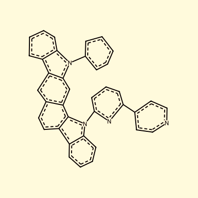 c1ccc(-n2c3ccccc3c3cc4ccc5c6ccccc6n(-c6cccc(-c7ccncc7)n6)c5c4cc32)cc1